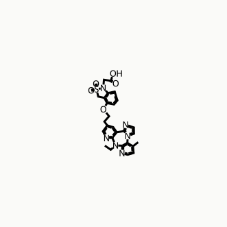 CCN1c2ncc(CCOc3cccc4c3CS(=O)(=O)N4CC(=O)O)cc2-c2nccn2-c2c(C)ccnc21